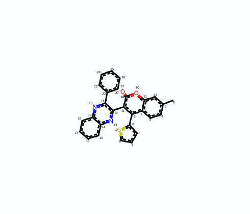 Cc1ccc2c(-c3cccs3)c(-c3nc4ccccc4nc3-c3ccccc3)c(=O)oc2c1